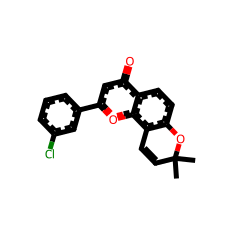 CC1(C)C=Cc2c(ccc3c(=O)cc(-c4cccc(Cl)c4)oc23)O1